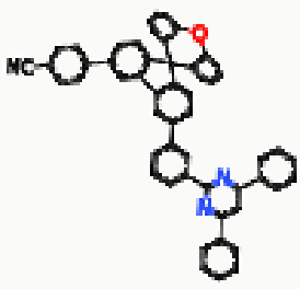 N#Cc1ccc(-c2ccc3c(c2)-c2cc(-c4cccc(-c5nc(-c6ccccc6)cc(-c6ccccc6)n5)c4)ccc2C32c3ccccc3Oc3ccccc32)cc1